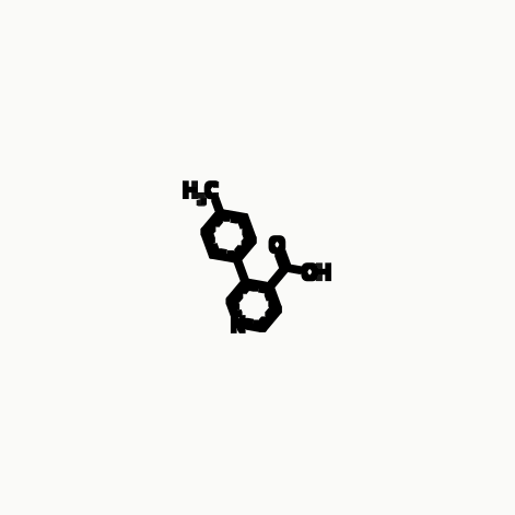 Cc1ccc(-c2cnccc2C(=O)O)cc1